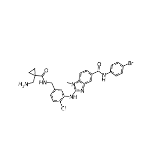 Cn1c(Nc2cc(CNC(=O)C3(CN)CC3)ccc2Cl)nc2cc(C(=O)Nc3ccc(Br)cc3)ccc21